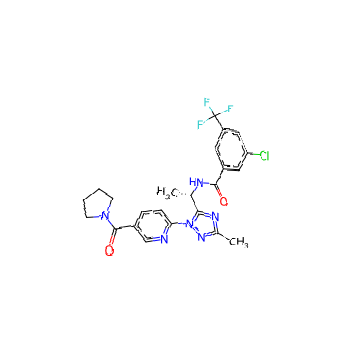 Cc1nc([C@H](C)NC(=O)c2cc(Cl)cc(C(F)(F)F)c2)n(-c2ccc(C(=O)N3CCCC3)cn2)n1